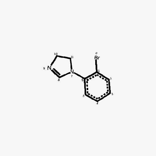 Brc1ccccc1N1C=NCC1